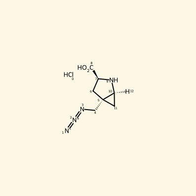 Cl.[N-]=[N+]=NC[C@]12C[C@@H](C(=O)O)N[C@H]1C2